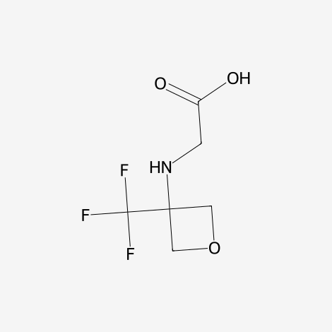 O=C(O)CNC1(C(F)(F)F)COC1